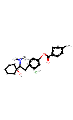 Cc1ccc(C(=O)Oc2ccc(CC(N(C)C)C3(O)CCCCC3)cc2)cc1.Cl